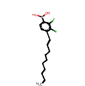 CCCCCCCCCCc1ccc(B(O)O)c(F)c1F